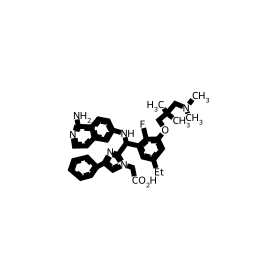 CCc1cc(OCC(C)(C)CN(C)C)c(F)c(C(Nc2ccc3c(N)nccc3c2)c2nc(-c3ccccc3)cn2CC(=O)O)c1